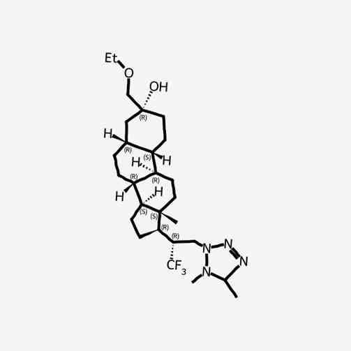 CCOC[C@@]1(O)CC[C@H]2[C@H](CC[C@@H]3[C@@H]2CC[C@]2(C)[C@@H]([C@H](CN4N=NC(C)N4C)C(F)(F)F)CC[C@@H]32)C1